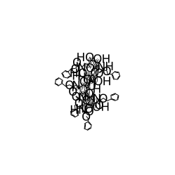 O=C(NC[C@@H]1O[C@H](O[C@H]2[C@@H](O)[C@H](O[C@@H]3[C@@H](O)[C@H](NC(=O)OCc4ccccc4)C[C@H](NC(=O)OCc4ccccc4)[C@H]3O[C@H]3O[C@H](CNC(=O)OCc4ccccc4)[C@@H](O)[C@H](O)[C@H]3NC(=O)OCc3ccccc3)O[C@@H]2CO)[C@H](NC(=O)OCc2ccccc2)[C@@H](O)[C@@H]1O)OCc1ccccc1